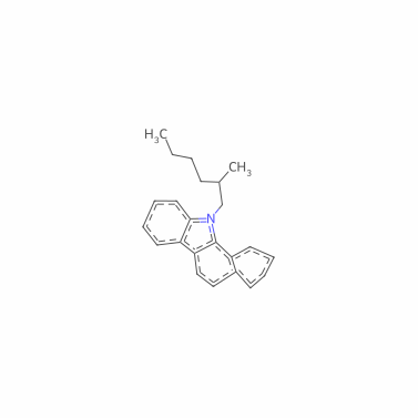 CCCCC(C)Cn1c2ccccc2c2ccc3ccccc3c21